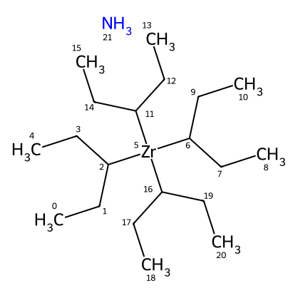 CC[CH](CC)[Zr]([CH](CC)CC)([CH](CC)CC)[CH](CC)CC.N